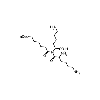 CCCCCCCCCCCCCCCC(=O)N(C(=O)C(N)CCCCN)C(CCCCN)C(=O)O